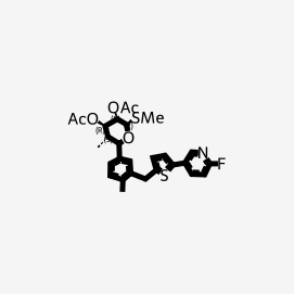 CS[C@H]1OC(c2ccc(C)c(Cc3ccc(-c4ccc(F)nc4)s3)c2)[C@H](C)[C@@H](OC(C)=O)[C@@H]1OC(C)=O